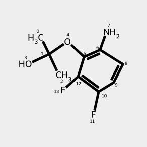 CC(C)(O)Oc1c(N)ccc(F)c1F